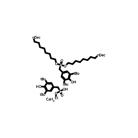 CCCCCCCCCCCCCCCCCCOP(=O)(Cc1cc(C(C)(C)C)c(O)c(C(C)(C)C)c1)OCCCCCCCCCCCCCCCCCC.CCOP(=O)(O)Cc1cc(C(C)(C)C)c(O)c(C(C)(C)C)c1.[CaH2]